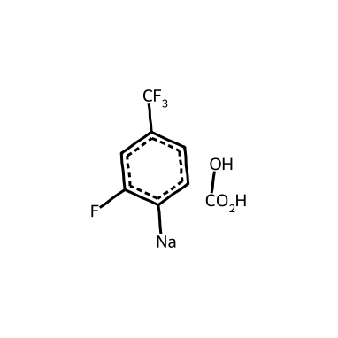 Fc1cc(C(F)(F)F)cc[c]1[Na].O=C(O)O